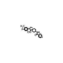 Cc1cc(N2CC[C@]3(CC[C@@H](NC(=O)c4ccncn4)CC3)C2=O)c(Cl)cc1F